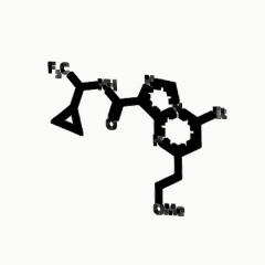 CCc1cc(CCOC)nc2c(C(=O)NC(C3CC3)C(F)(F)F)ncn12